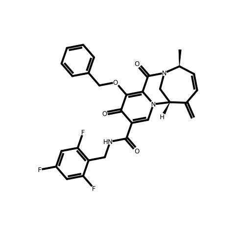 C=C1C=C[C@H](C)N2C[C@H]1n1cc(C(=O)NCc3c(F)cc(F)cc3F)c(=O)c(OCc3ccccc3)c1C2=O